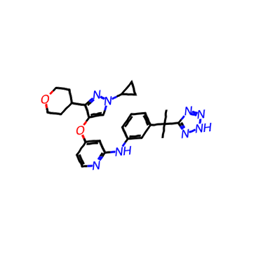 CC(C)(c1cccc(Nc2cc(Oc3cn(C4CC4)nc3C3CCOCC3)ccn2)c1)c1nn[nH]n1